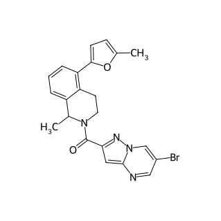 Cc1ccc(-c2cccc3c2CCN(C(=O)c2cc4ncc(Br)cn4n2)C3C)o1